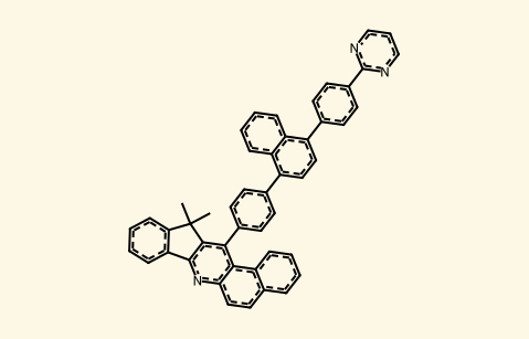 CC1(C)c2ccccc2-c2nc3ccc4ccccc4c3c(-c3ccc(-c4ccc(-c5ccc(-c6ncccn6)cc5)c5ccccc45)cc3)c21